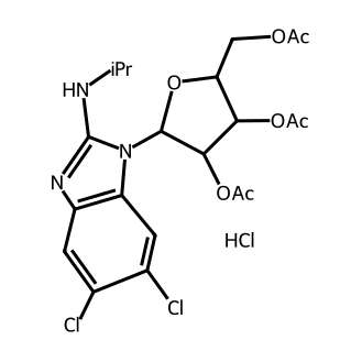 CC(=O)OCC1OC(n2c(NC(C)C)nc3cc(Cl)c(Cl)cc32)C(OC(C)=O)C1OC(C)=O.Cl